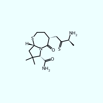 C[C@H](N)C(=S)C[C@H]1CCS[C@H]2CC(C)(C)[C@@H](C(N)=O)N2C1=O